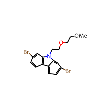 COCCOCCn1c2cc(Br)ccc2c2ccc(Br)cc21